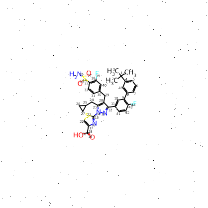 CC(C)(C)c1cccc(-c2cc(-c3nn(-c4nc(C(=O)O)cs4)c(CC4CC4)c3Cc3ccc(S(N)(=O)=O)c(F)c3)ccc2F)c1